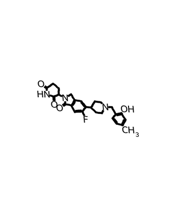 Cc1ccc(CN2CCC(c3cc4c(cc3F)C(=O)N(C3CCC(=O)NC3=O)C4)CC2)c(O)c1